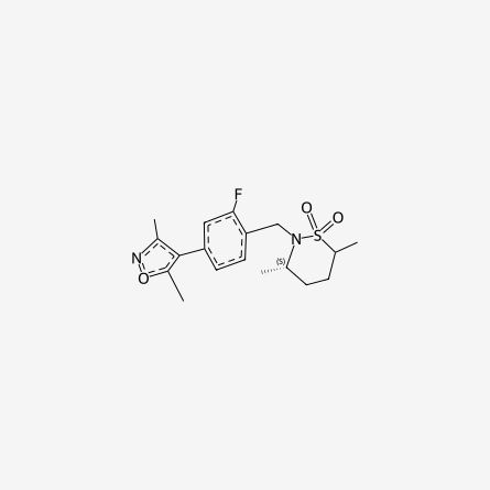 Cc1noc(C)c1-c1ccc(CN2[C@@H](C)CCC(C)S2(=O)=O)c(F)c1